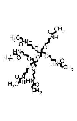 C=CC(=O)NCCCOCC(COCCCNC(=O)C=C)(COCCCNC(=O)C=C)COCC(COCCCNC(=O)C=C)(COCCCNC(=O)C=C)COCCCNC(=O)C=C